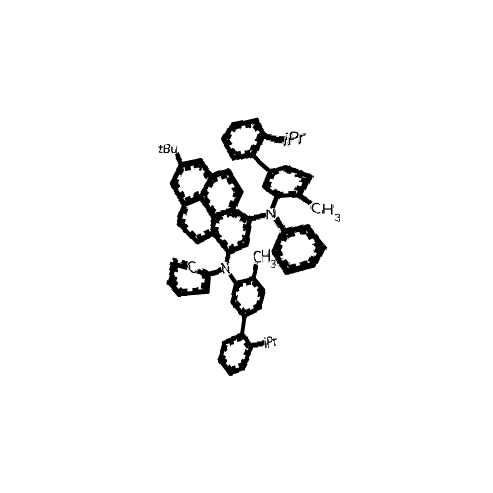 Cc1ccc(-c2ccccc2C(C)C)cc1N(c1ccccc1)c1cc(N(c2ccccc2)c2cc(-c3ccccc3C(C)C)ccc2C)c2ccc3cc(C(C)(C)C)cc4ccc1c2c43